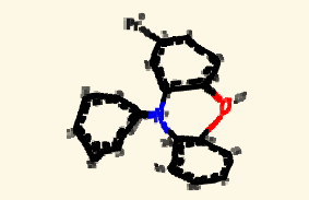 CC(C)c1ccc2c(c1)N(c1ccccc1)c1ccccc1O2